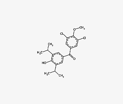 COc1c(Cl)cc(C(=O)c2cc(C(C)C)c(O)c(C(C)C)c2)cc1Cl